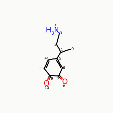 CC(CCN)C1=CC(=O)C(=O)C=C1